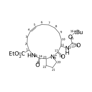 CCOC(=O)C1CCC=CCCCCCC(NC(=O)OC(C)(C)C)C(=O)[N+]2CCCC2C(=O)N1